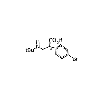 CC(C)(C)NC[C@@H](C(=O)O)c1ccc(Br)cc1